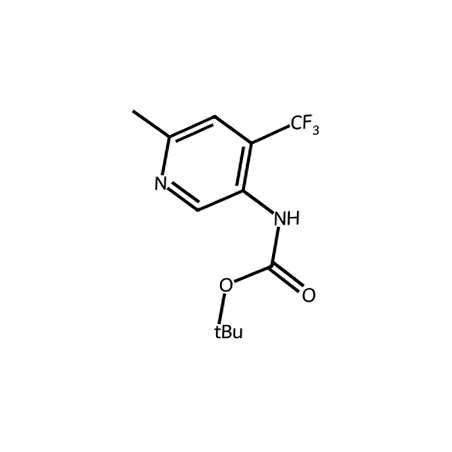 Cc1cc(C(F)(F)F)c(NC(=O)OC(C)(C)C)cn1